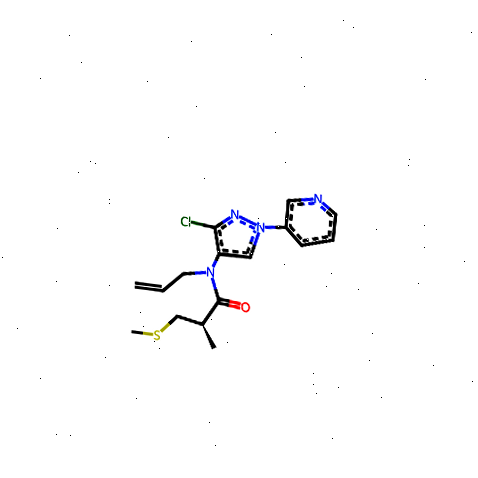 C=CCN(C(=O)[C@@H](C)CSC)c1cn(-c2cccnc2)nc1Cl